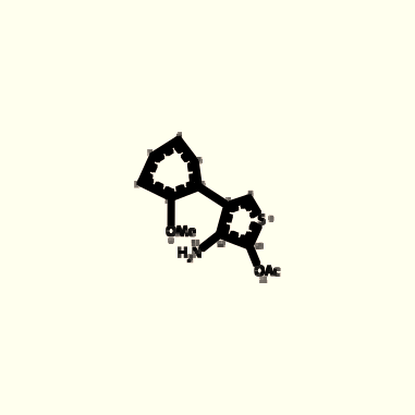 COc1ccccc1-c1csc(OC(C)=O)c1N